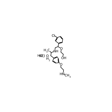 CNCCOc1ccc(CC(C)NCC(OCCO)c2cccc(Cl)c2)cc1.Cl.Cl.O